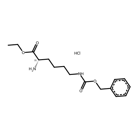 CCOC(=O)[C@@H](N)CCCCNC(=O)OCc1ccccc1.Cl